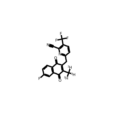 [2H]C([2H])([2H])C1=C(Cc2ccc(C(F)(F)F)c(C#N)n2)C(=O)c2ccc(F)cc2C1=O